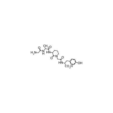 CC(NC(=O)CN)C(=O)NC1CCCN(CC(=O)NC(Cc2ccc(O)cc2)C(=O)O)C1=O